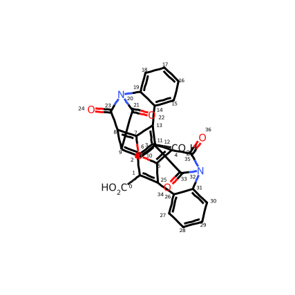 O=C(O)c1cc2c3c(Oc4c5c6cc(C(=O)O)c4-c4ccccc4N(C6=O)C5=O)c1-c1ccccc1N(C2=O)C3=O